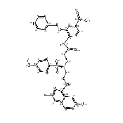 COc1ccc(S(=O)(=O)N(CCNc2cc(C)nc3ccc(Cl)cc23)CCC(=O)Nc2ccc([N+](=O)[O-])cc2OCc2ccncc2)cc1